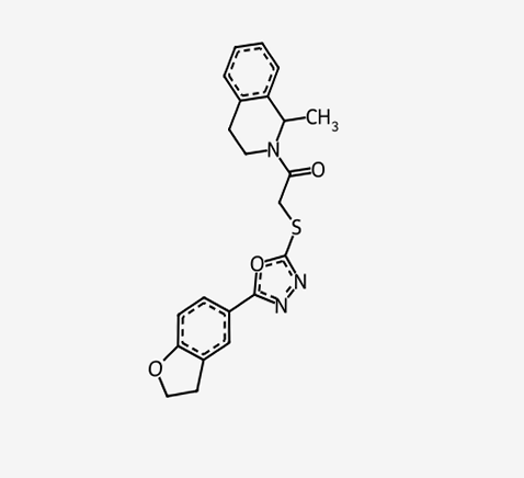 CC1c2ccccc2CCN1C(=O)CSc1nnc(-c2ccc3c(c2)CCO3)o1